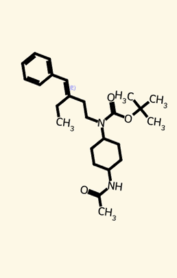 CC/C(=C\c1ccccc1)CCN(C(=O)OC(C)(C)C)C1CCC(NC(C)=O)CC1